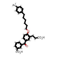 CC(=O)c1ccc(CCCCCCOc2ccc(C(=O)c3cccc(C(=O)O)c3)cc2CCC(=O)O)cc1